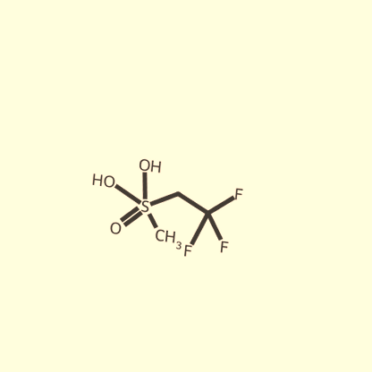 CS(=O)(O)(O)CC(F)(F)F